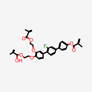 C=C(C)C(=O)OCCOc1cc(-c2ccc(-c3ccc(OC(=O)C(=C)C)cc3)cc2F)ccc1OCCOC(O)C(=C)C